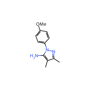 COc1ccc(-n2nc(C)c(C)c2N)cc1